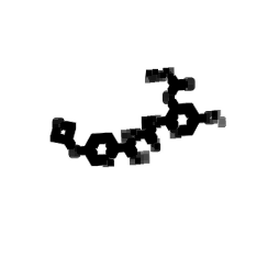 CNC(=O)Oc1cc(C(F)(F)F)cnc1NC(=S)NC(=N)c1ccc(OC2COC2)cn1